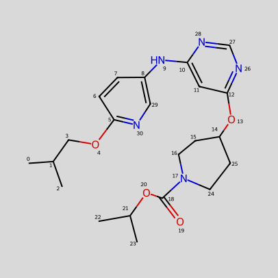 CC(C)COc1ccc(Nc2cc(OC3CCN(C(=O)OC(C)C)CC3)ncn2)cn1